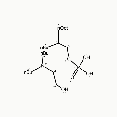 CCCCCCCCC(CCCC)COP(=O)(O)O.CCCCN(CCO)CCCC